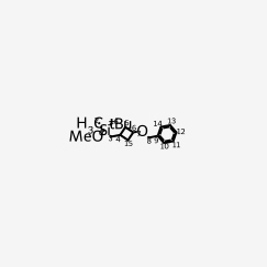 CO[Si](C)(CC1CC(OCc2ccccc2)C1)C(C)(C)C